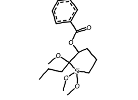 CCCC1(OC)C(OC(=O)c2ccccc2)CCC[Si]1(OC)OC